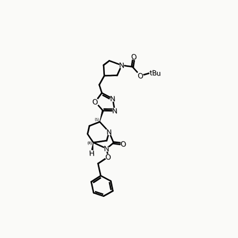 CC(C)(C)OC(=O)N1CCC(Cc2nnc([C@@H]3CC[C@@H]4CN3C(=O)N4OCc3ccccc3)o2)C1